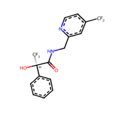 O=C(NCc1cc(C(F)(F)F)ccn1)[C@](O)(c1ccccc1)C(F)(F)F